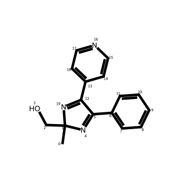 CC1(CO)N=C(c2ccccc2)C(c2ccncc2)=N1